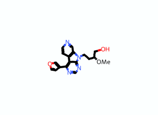 COC(CO)CCn1c2cnccc2c2c(-c3ccoc3)ncnc21